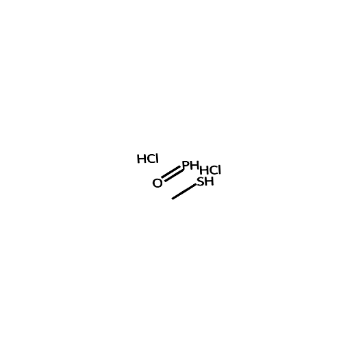 CS.Cl.Cl.O=P